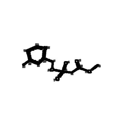 COC(=O)CS(=O)(=O)OCc1cc(C)ccn1